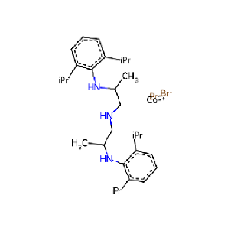 CC(CNCC(C)Nc1c(C(C)C)cccc1C(C)C)Nc1c(C(C)C)cccc1C(C)C.[Br-].[Br-].[Co+2]